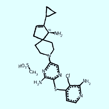 CS(=O)(=O)O.Nc1nc(N2CCC3(CC=C(C4CC4)[C@H]3N)CC2)cnc1Sc1ccnc(N)c1Cl